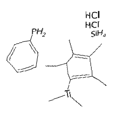 CC1=C(C)C(C)[C]([Ti]([CH3])[CH3])=C1C.Cl.Cl.Pc1ccccc1.[SiH4]